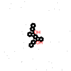 OC1(c2ccc3ccccc3c2)c2ccccc2-c2cc3c(cc21)-c1ccccc1C3(O)c1ccc2ccccc2c1